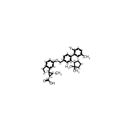 Cc1ccc(F)c(-c2ccc(COc3ccc4c(c3)[C@@]3(CC4)[C@H](C)[C@H]3C(=O)O)cc2[C@H]2CCCC2(C)C)c1